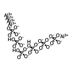 O=P([O-])([O-])O.O=P([O-])([O-])O.O=P([O-])([O-])O.O=P([O-])([O-])[O-].O=P([O-])([O-])[O-].O=P([O-])([O-])[O-].[Al+3].[Al+3].[Al+3].[Al+3].[Al+3]